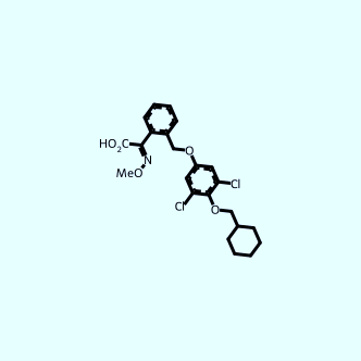 CON=C(C(=O)O)c1ccccc1COc1cc(Cl)c(OCC2CCCCC2)c(Cl)c1